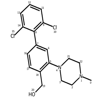 CN1CCN(c2cc(-c3c(Cl)cccc3Cl)c[c]c2CO)CC1